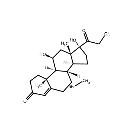 CCCC.C[C@]12CCC(=O)C=C1CC[C@@H]1[C@@H]2[C@@H](O)C[C@@]2(C)[C@H]1CC[C@]2(O)C(=O)CO